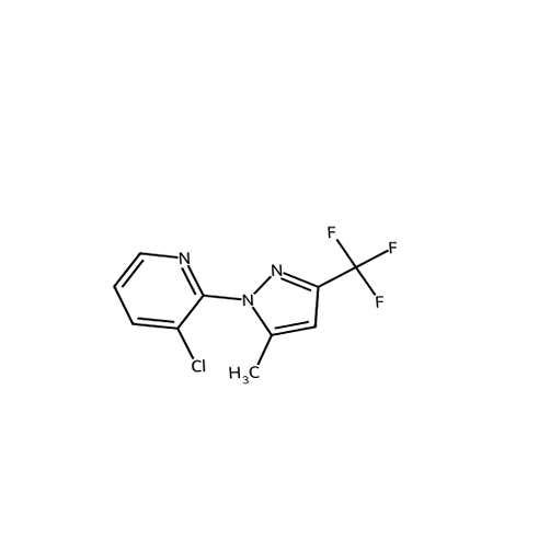 Cc1cc(C(F)(F)F)nn1-c1ncccc1Cl